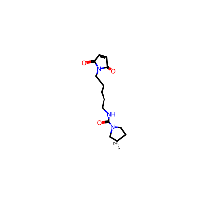 C[C@H]1CCN(C(=O)NCCCCCN2C(=O)C=CC2=O)C1